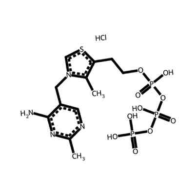 Cc1ncc(C[n+]2csc(CCOP(=O)(O)OP(=O)(O)OP(=O)(O)O)c2C)c(N)n1.Cl